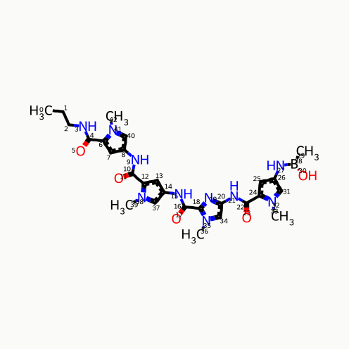 CCCNC(=O)c1cc(NC(=O)c2cc(NC(=O)c3nc(NC(=O)c4cc(NB(C)O)cn4C)cn3C)cn2C)cn1C